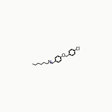 CCCCCC/N=C/c1ccc(OCc2ccc(Cl)cc2)cc1